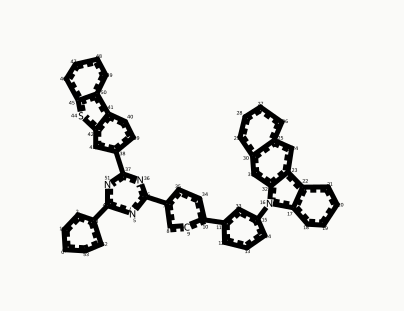 c1ccc(-c2nc(-c3ccc(-c4cccc(-n5c6ccccc6c6cc7ccccc7cc65)c4)cc3)nc(-c3ccc4c(c3)sc3ccccc34)n2)cc1